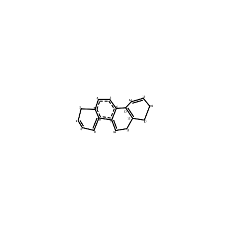 C1=CCc2ccc3c(c2=C1)=CCC1=C3C=CCC1